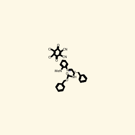 CNc1ccccc1/N=C/[C@H](Cc1ccccc1)NC(=O)OCc1ccccc1.N#CC1=C(C#N)C(=O)C(Cl)=C(Cl)C1=O